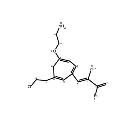 C=C(CC)/C(=C/C1=CC=C(OCCN)CC(CCCl)=C1)CCC